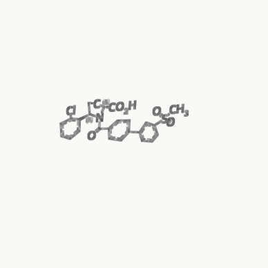 CS(=O)(=O)c1cccc(-c2ccc(C(=O)N3[C@@H](c4ccccc4Cl)CC[C@H]3C(=O)O)cc2)c1